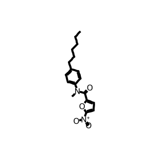 CCCCCCc1ccc(N(C)C(=O)c2ccc([N+](=O)[O-])o2)cc1